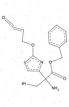 CC(C)CC(N)(C(=O)OCc1ccccc1)c1csc(OCC=C=O)n1